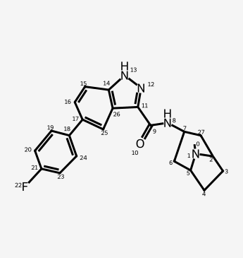 CN1C2CCC1CC(NC(=O)c1n[nH]c3ccc(-c4ccc(F)cc4)cc13)C2